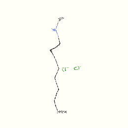 CCCCCCCCCCCC[NH][Ti+2].[Cl-].[Cl-]